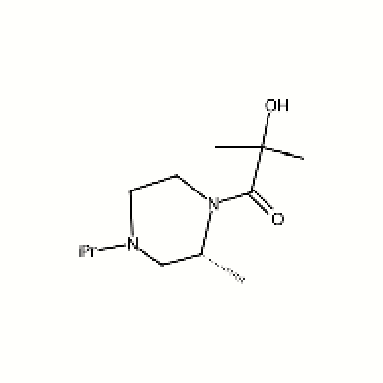 CC(C)N1CCN(C(=O)C(C)(C)O)[C@H](C)C1